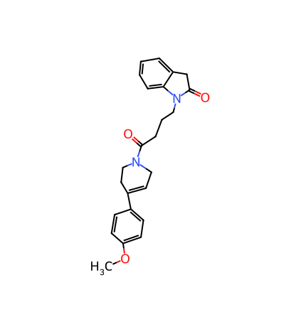 COc1ccc(C2=CCN(C(=O)CCCN3C(=O)Cc4ccccc43)CC2)cc1